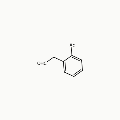 CC(=O)c1ccccc1CC=O